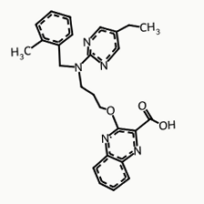 CCc1cnc(N(CCCOc2nc3ccccc3nc2C(=O)O)Cc2ccccc2C)nc1